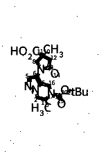 C[C@H]1Cn2ncc(N3CC(C)(C(=O)O)CC3=O)c2CN1C(=O)OC(C)(C)C